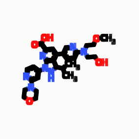 COCCN(CCO)c1ccc(-c2cc(C(=O)O)nc3c2C(C(C)C)NN3c2ccnc(N3CCOCC3)c2)cn1